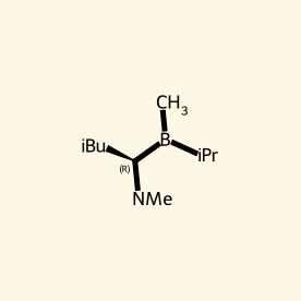 CCC(C)[C@H](NC)B(C)C(C)C